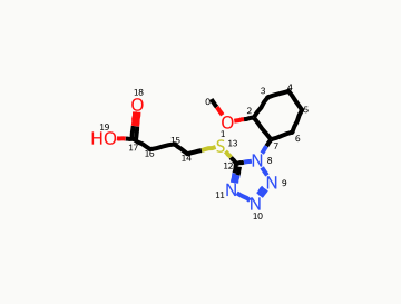 COC1CCCCC1n1nnnc1SCCCC(=O)O